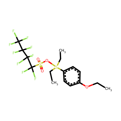 CCOc1ccc(S(CC)(CC)OS(=O)(=O)C(F)(F)C(F)(F)C(F)(F)C(F)(F)F)cc1